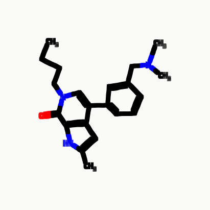 CCCCn1cc(-c2cccc(CN(C)C)c2)c2cc(C)[nH]c2c1=O